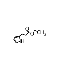 CCOC(=O)CCC1=CC=C[IH]1